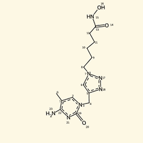 Cc1cn(Cc2cn(CCCCCC(=O)NO)nn2)c(=O)nc1N